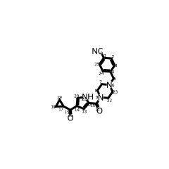 N#Cc1ccc(CN2CCN(C(=O)c3cc(C(=O)C4CC4)c[nH]3)CC2)cc1